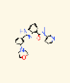 O=C(Nc1cccnc1)c1cccc2[nH]c(-c3cccc(N4CCOCC4)c3)nc12